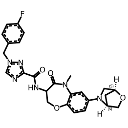 CN1C(=O)C(NC(=O)c2ncn(Cc3ccc(F)cc3)n2)COc2ccc(N3C[C@@H]4C[C@H]3CO4)cc21